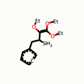 CCOC(OCC)=C(OCC)C([SiH3])Cc1ccccc1